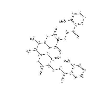 COc1ccccc1C(=O)OCN1C(=O)CN(C(C)C(C)N2CC(=O)N(COC(=O)c3ccccc3OC)C(=O)C2)CC1=O